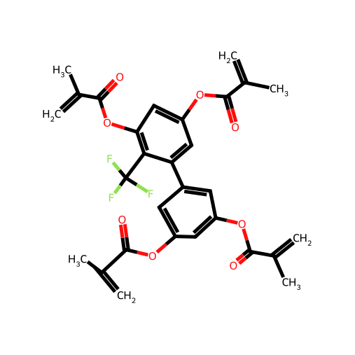 C=C(C)C(=O)Oc1cc(OC(=O)C(=C)C)cc(-c2cc(OC(=O)C(=C)C)cc(OC(=O)C(=C)C)c2C(F)(F)F)c1